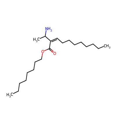 CCCCCCCCC=C(C(=O)OCCCCCCCC)C(C)N